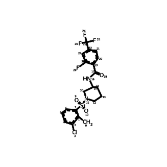 Cc1c(Cl)cccc1S(=O)(=O)N1CCCC(NC(=O)c2ccc(C(F)(F)F)cc2F)C1